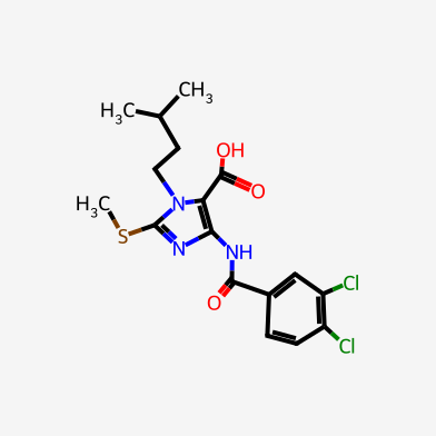 CSc1nc(NC(=O)c2ccc(Cl)c(Cl)c2)c(C(=O)O)n1CCC(C)C